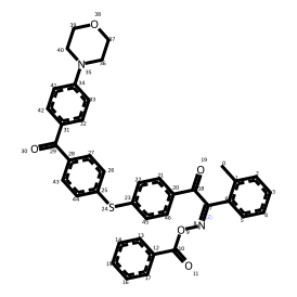 Cc1ccccc1/C(=N/OC(=O)c1ccccc1)C(=O)c1ccc(Sc2ccc(C(=O)c3ccc(N4CCOCC4)cc3)cc2)cc1